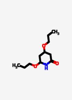 CCCOC1CC(=O)NC(OCCC)C1